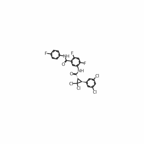 O=C(Nc1ccc(F)cc1)c1cc(NC(=O)[C@@H]2[C@@H](c3cc(Cl)cc(Cl)c3)C2(Cl)Cl)c(F)cc1F